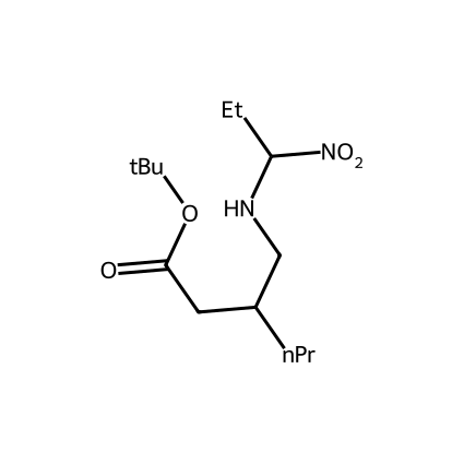 CCCC(CNC(CC)[N+](=O)[O-])CC(=O)OC(C)(C)C